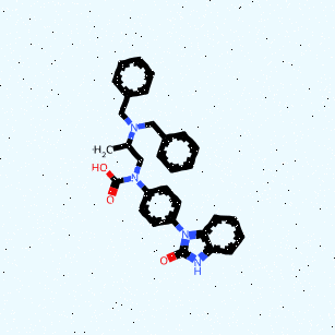 [CH2]C(CN(C(=O)O)c1ccc(-n2c(=O)[nH]c3ccccc32)cc1)N(Cc1ccccc1)Cc1ccccc1